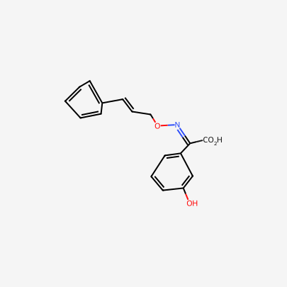 O=C(O)C(=NOCC=Cc1ccccc1)c1cccc(O)c1